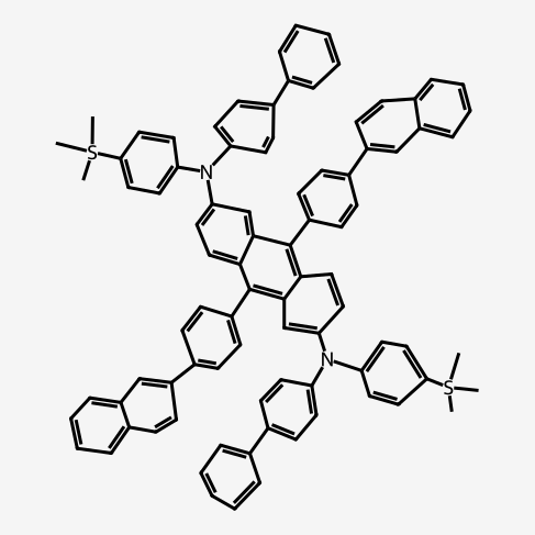 CS(C)(C)c1ccc(N(c2ccc(-c3ccccc3)cc2)c2ccc3c(-c4ccc(-c5ccc6ccccc6c5)cc4)c4cc(N(c5ccc(-c6ccccc6)cc5)c5ccc(S(C)(C)C)cc5)ccc4c(-c4ccc(-c5ccc6ccccc6c5)cc4)c3c2)cc1